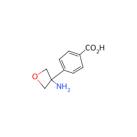 NC1(c2ccc(C(=O)O)cc2)COC1